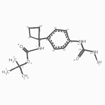 CC(C)(C)OC(=O)NC1(c2ccc(NC(=O)NS)cc2)CCC1